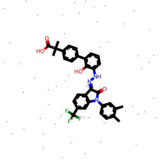 Cc1ccc(N2C(=O)/C(=N\Nc3cccc(-c4ccc(C(C)(C)C(=O)O)cc4)c3O)c3ccc(C(F)(F)F)cc32)cc1C